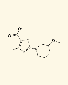 COC1CCCN(c2nc(C)c(C(=O)O)o2)C1